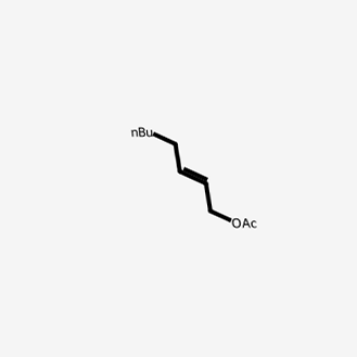 CCCCCC=CCOC(C)=O